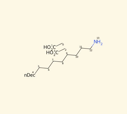 CC(=O)O.CC(=O)O.CCCCCCCCCCCCCCCCCCN